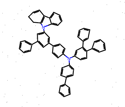 C1=Cc2c(n(-c3cc(-c4ccccc4)cc(-c4ccc(N(c5ccc(-c6ccccc6)cc5)c5ccc(-c6ccccc6)c(-c6ccccc6)c5)cc4)c3)c3ccccc23)CC1